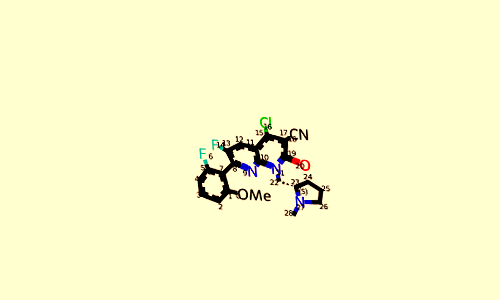 COc1cccc(F)c1-c1nc2c(cc1F)c(Cl)c(C#N)c(=O)n2C[C@@H]1CCCN1C